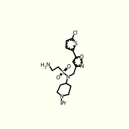 CC(C)N1CCC(N(Cc2cc(-c3ccc(Cl)s3)on2)S(=O)(=O)CCN)CC1